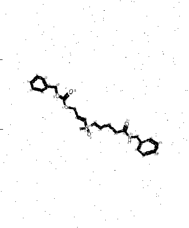 C[N+]([O-])(C=CCOC(=O)OCc1ccccc1)CCCCC(=O)NCc1ccccc1